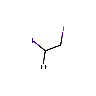 [CH2]CC(I)CI